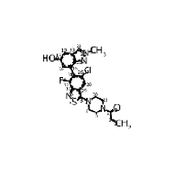 C=CC(=O)N1CCN(c2snc3c(F)c(-c4cc(O)cc5cn(C)nc45)c(Cl)cc23)CC1